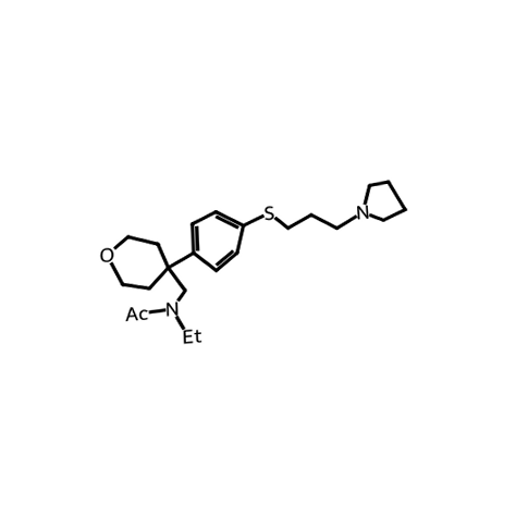 CCN(CC1(c2ccc(SCCCN3CCCC3)cc2)CCOCC1)C(C)=O